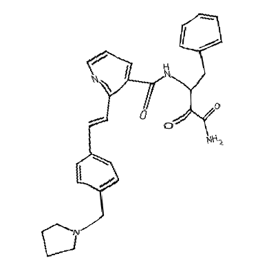 NC(=O)C(=O)C(Cc1ccccc1)NC(=O)c1cccnc1C=Cc1ccc(CN2CCCC2)cc1